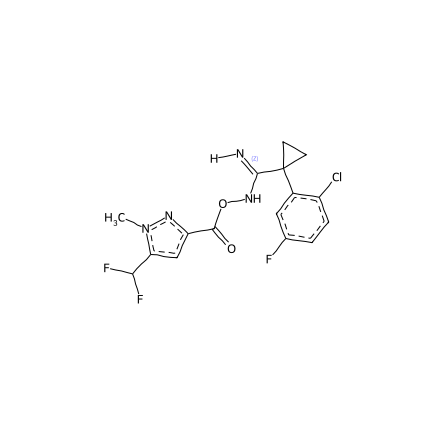 [H]/N=C(\NOC(=O)c1cc(C(F)F)n(C)n1)C1(c2cc(F)ccc2Cl)CC1